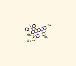 Cc1ccccc1C1C(C)C2=C3C(CC=C2)B2C4=CCC(N(C5=CC=C(C(C)(C)C)CC5C)c5ccc(C(C)(C)C)cc5C)C=C4N(c4cccc5c4OC4=CC(C(C)(C)C)=CCC45)c4cc(C(C)(C)C)cc(c42)N31